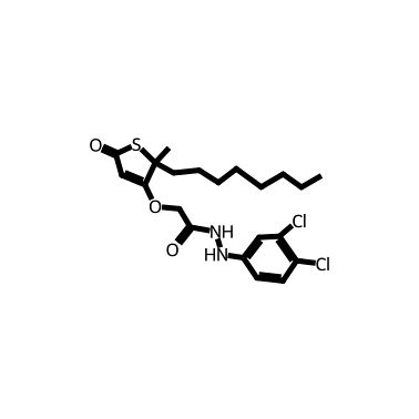 CCCCCCCCC1(C)SC(=O)C=C1OCC(=O)NNc1ccc(Cl)c(Cl)c1